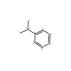 C[N+](C)c1cccnc1